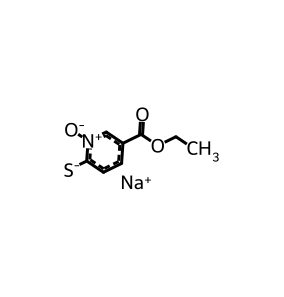 CCOC(=O)c1ccc([S-])[n+]([O-])c1.[Na+]